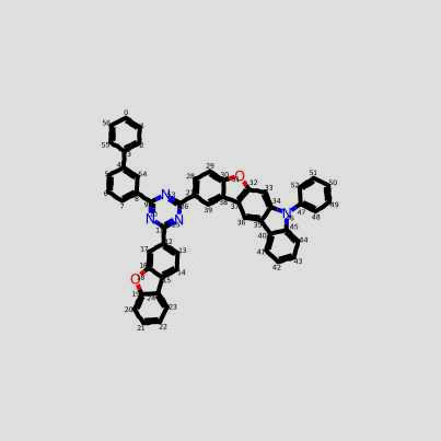 c1ccc(-c2cccc(-c3nc(-c4ccc5c(c4)oc4ccccc45)nc(-c4ccc5oc6cc7c(cc6c5c4)c4ccccc4n7-c4ccccc4)n3)c2)cc1